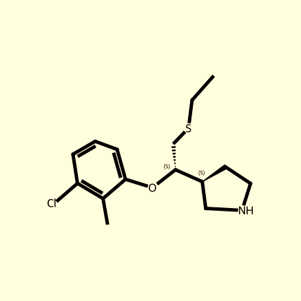 CCSC[C@@H](Oc1cccc(Cl)c1C)[C@H]1CCNC1